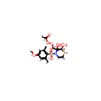 COc1cc(C)c(S(=O)(=O)N2CCSC(O)C2(O)COOC(C)=O)c(C)c1